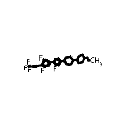 CCCC1CCC(C2CCC(c3ccc(-c4cc(F)c(C#CC(F)(F)F)c(F)c4)c(F)c3)CC2)CC1